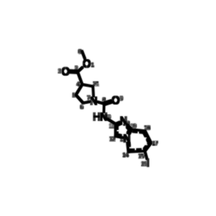 COC(=O)C1CCN(C(=O)Nc2cn3cc(I)ccc3n2)C1